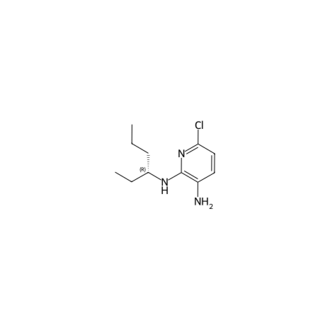 CCC[C@@H](CC)Nc1nc(Cl)ccc1N